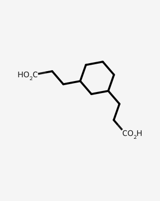 O=C(O)CCC1CCCC(CCC(=O)O)C1